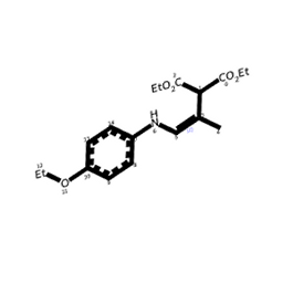 CCOC(=O)C(C(=O)OCC)/C(C)=C\Nc1ccc(OCC)cc1